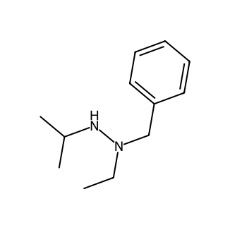 CCN(Cc1ccccc1)NC(C)C